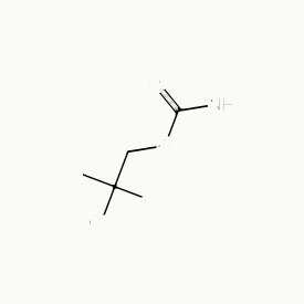 [NH]C(=O)OCC(Cl)(Cl)Cl